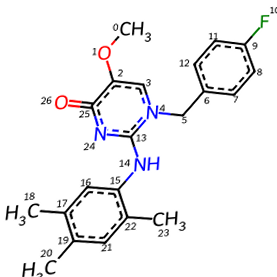 COc1cn(Cc2ccc(F)cc2)c(Nc2cc(C)c(C)cc2C)nc1=O